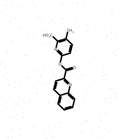 Cc1ccc(OC(=O)c2ccc3ccccc3n2)nc1C(=O)O